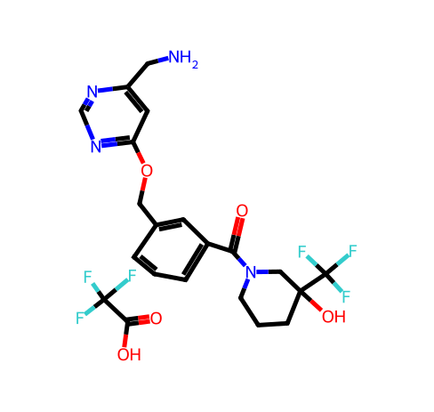 NCc1cc(OCc2cccc(C(=O)N3CCCC(O)(C(F)(F)F)C3)c2)ncn1.O=C(O)C(F)(F)F